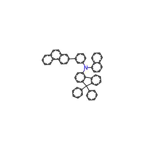 c1ccc(C2(c3ccccc3)c3ccccc3-c3c(N(c4cccc(-c5ccc6c(ccc7ccccc76)c5)c4)c4cccc5ccccc45)cccc32)cc1